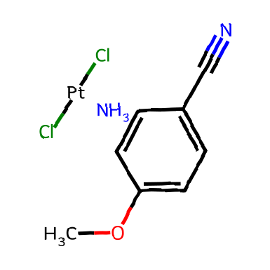 COc1ccc(C#N)cc1.N.[Cl][Pt][Cl]